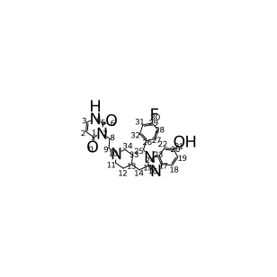 O=c1cc[nH]c(=O)n1CCN1CCC(Cc2nc3ccc(O)cc3n2Cc2ccc(F)cc2)CC1